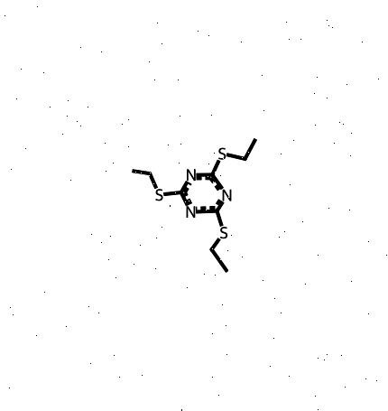 CCSc1nc(SCC)nc(SCC)n1